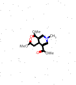 COC(=O)CC1C(C(=O)OC)=CN(C)C=C1C(=O)OC